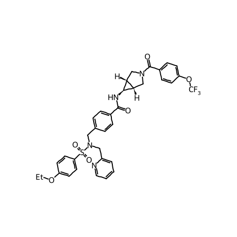 CCOc1ccc(S(=O)(=O)N(Cc2ccc(C(=O)N[C@H]3[C@@H]4CN(C(=O)c5ccc(OC(F)(F)F)cc5)C[C@@H]43)cc2)Cc2ccccn2)cc1